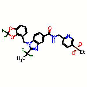 CCS(=O)(=O)c1ccc(CNC(=O)c2ccc3c(c2)nc(C(C)(F)F)n3Cc2cccc3c2OC(F)(F)O3)nc1